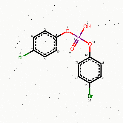 O=P(O)(Oc1ccc(Br)cc1)Oc1ccc(Br)cc1